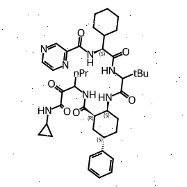 CCCC(NC(=O)[C@@H]1C[C@@H](c2ccccc2)CC[C@@H]1NC(=O)C(NC(=O)[C@@H](NC(=O)c1cnccn1)C1CCCCC1)C(C)(C)C)C(=O)C(=O)NC1CC1